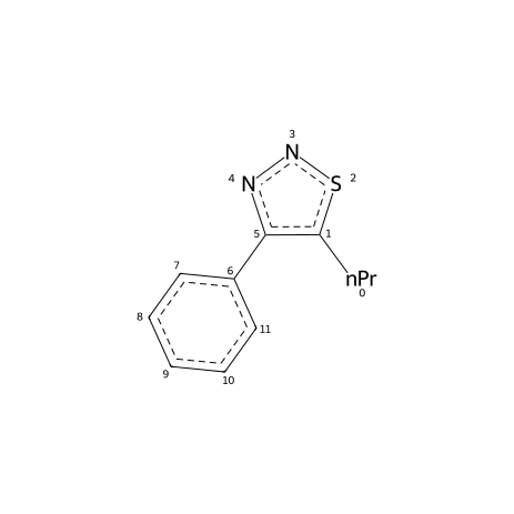 CCCc1snnc1-c1ccccc1